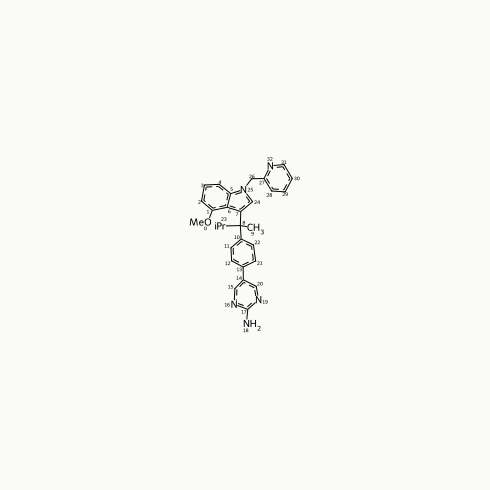 COc1cccc2c1c(C(C)(c1ccc(-c3cnc(N)nc3)cc1)C(C)C)cn2Cc1ccccn1